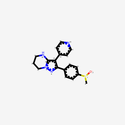 C[S+]([O-])c1ccc(-c2nn3c(c2-c2ccncc2)NCCC3)cc1